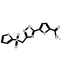 O=C(c1ccc(-c2nc(CS(=O)(=O)c3cccs3)no2)s1)C(F)(F)F